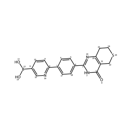 O=c1[nH]c(-c2ccc(-c3ccc(B(O)O)cn3)cc2)nc2c1CSCC2